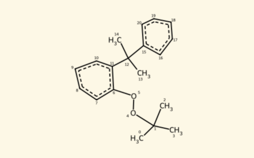 CC(C)(C)OOc1ccccc1C(C)(C)c1ccccc1